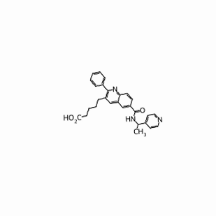 CC(NC(=O)c1ccc2nc(-c3ccccc3)c(CCCCC(=O)O)cc2c1)c1ccncc1